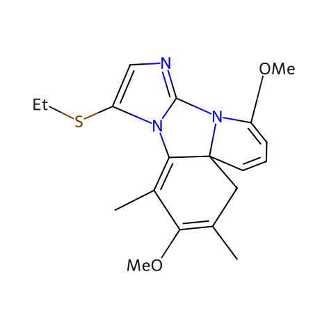 CCSc1cnc2n1C1=C(C)C(OC)=C(C)CC13C=CC=C(OC)N23